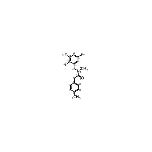 Cc1ccc(CC(=O)N(C)Cc2cc(F)cc(F)c2F)cc1